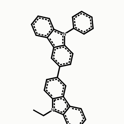 CCn1c2ccccc2c2cc(-c3ccc4c(c3)c3ccccc3n4-c3ccccc3)ccc21